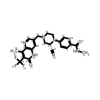 CNC(=O)c1ccc(N2CCN(Cc3cnc4c(C)c(C(F)(F)F)c(=O)[nH]c4c3)C[C@H]2C#N)cn1